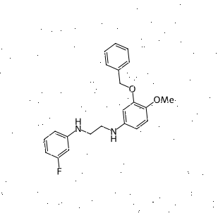 COc1ccc(NCCNc2cccc(F)c2)cc1OCc1ccccc1